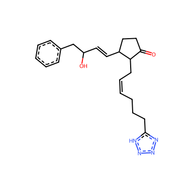 O=C1CCC(C=CC(O)Cc2ccccc2)C1C/C=C\CCCc1nnn[nH]1